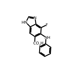 O=C(O)c1cc2[nH]cnc2c(F)c1Nc1ccccc1